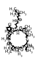 C/C=C(\C)[C@H]1OC(=O)[C@@H](C)NC(=O)[C@H]([C@H](C)CC)NC(=O)CN(C)C(=O)[C@@H](Cc2ccc(Cl)cc2)N(C)C(=O)[C@H](CCCCNC(=O)CCC(C)(C)OCC)NC(=O)[C@@H](CC(C)C)OC(=O)/C(C)=C/CC[C@@H]1C